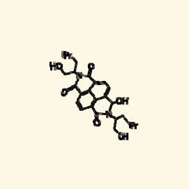 CC(C)CC(CO)N1C(=O)c2ccc3c4c(ccc(c24)C1=O)C(O)N(C(CO)CC(C)C)C3=O